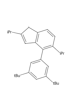 CC(C)C1=Cc2c(ccc(C(C)C)c2-c2cc(C(C)(C)C)cc(C(C)(C)C)c2)[CH]1